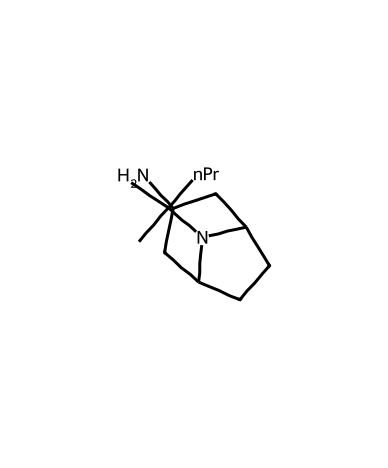 CCCC(C)(C)N1C2CCC1CC(N)C2